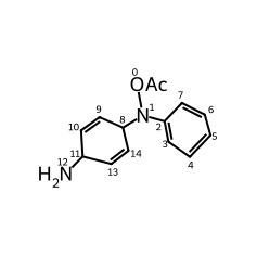 CC(=O)ON(c1ccccc1)C1C=CC(N)C=C1